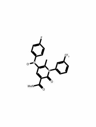 CNC(=O)c1cc([S+]([O-])c2ccc(F)cc2)c(C)n(-c2cccc(C(F)(F)F)c2)c1=O